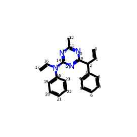 C=CC(c1ccccc1)c1nc(C)nc(N(C=C)c2ccccc2)n1